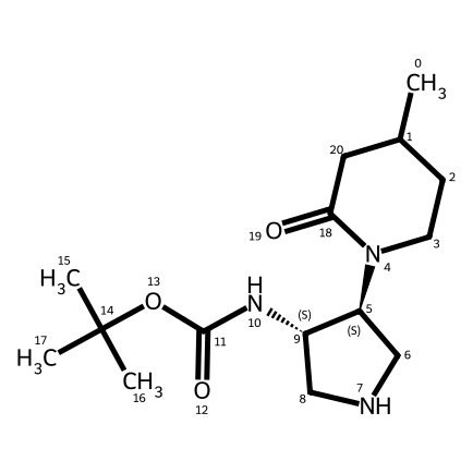 CC1CCN([C@H]2CNC[C@@H]2NC(=O)OC(C)(C)C)C(=O)C1